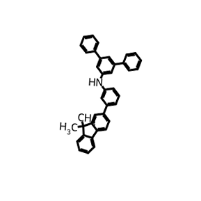 CC1(C)c2ccccc2-c2ccc(-c3cccc(Nc4cc(-c5ccccc5)cc(-c5ccccc5)c4)c3)cc21